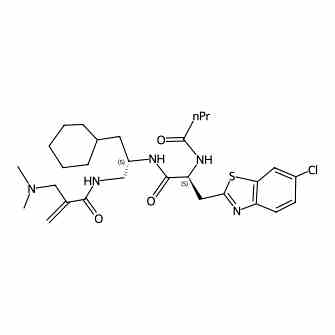 C=C(CN(C)C)C(=O)NC[C@H](CC1CCCCC1)NC(=O)[C@H](Cc1nc2ccc(Cl)cc2s1)NC(=O)CCC